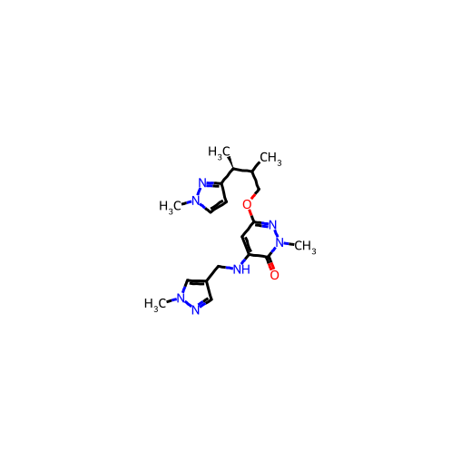 CC(COc1cc(NCc2cnn(C)c2)c(=O)n(C)n1)[C@H](C)c1ccn(C)n1